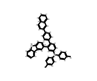 Cc1ccc(N(c2ccc(C)cc2)c2ccc(-c3ccc(-c4ccc5ccccc5c4)cc3)c(-c3ccc4oc5ccccc5c4c3)c2)cc1